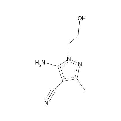 Cc1nn(CCO)c(N)c1C#N